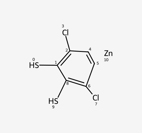 Sc1c(Cl)ccc(Cl)c1S.[Zn]